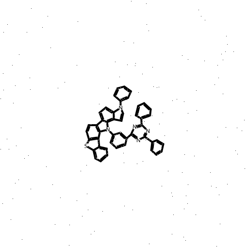 c1ccc(-c2nc(-c3ccccc3)nc(-c3cccc(-n4c5c(ccc6c5ccn6-c5ccccc5)c5ccc6sc7ccccc7c6c54)c3)n2)cc1